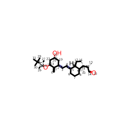 C=C1/C(=C/C=C2\CCC[C@]3(C)[C@@H]([C@H](C)C=O)CC[C@@H]23)C[C@@H](O)C[C@@H]1O[Si](C)(C)C(C)(C)C